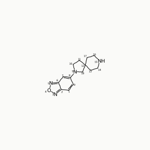 c1cc2nonc2cc1N1CCC2(CCNCC2)C1